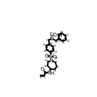 C=CC(=O)NC1CCCN(S(=O)(=O)c2ccc(CN(Cc3ccccc3)C(=O)O)cc2)CC1